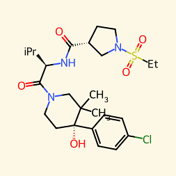 CCS(=O)(=O)N1CC[C@@H](C(=O)N[C@@H](C(=O)N2CC[C@](O)(c3ccc(Cl)cc3)C(C)(C)C2)C(C)C)C1